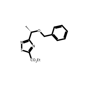 CCOC(=O)c1nc([C@H](C)OCc2ccccc2)ns1